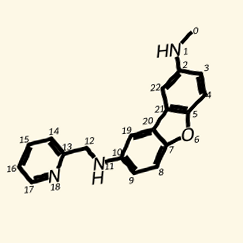 CNc1ccc2oc3ccc(NCc4ccccn4)cc3c2c1